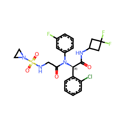 O=C(NC1CC(F)(F)C1)[C@@H](c1ccccc1Cl)N(C(=O)CNS(=O)(=O)N1CC1)c1cccc(F)c1